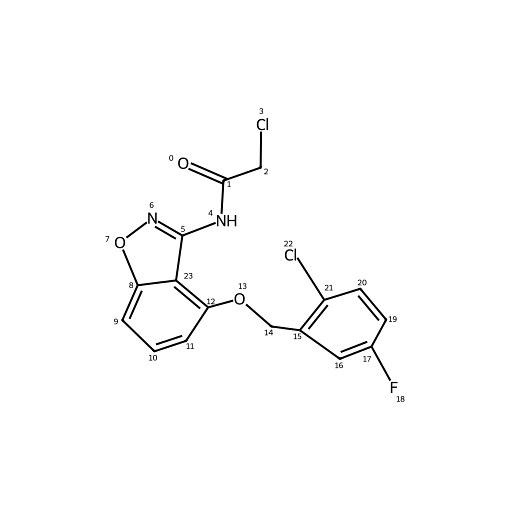 O=C(CCl)Nc1noc2cccc(OCc3cc(F)ccc3Cl)c12